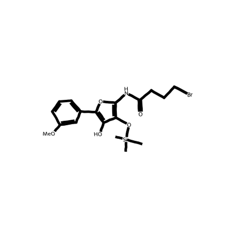 COc1cccc(-c2oc(NC(=O)CCCBr)c(O[Si](C)(C)C)c2O)c1